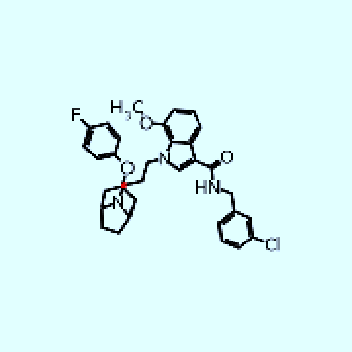 COc1cccc2c(C(=O)NCc3cccc(Cl)c3)cn(CCCN3C4CCC3CC(Oc3ccc(F)cc3)C4)c12